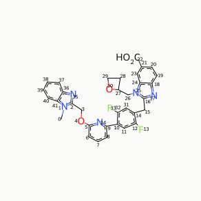 Cn1c(COc2cccc(-c3cc(F)c(Cc4nc5ccc(C(=O)O)cc5n4CC4CCO4)cc3F)n2)nc2ccccc21